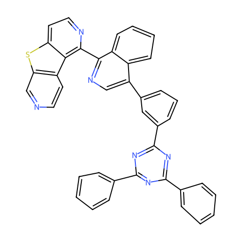 c1ccc(-c2nc(-c3ccccc3)nc(-c3cccc(-c4cnc(-c5nccc6sc7cnccc7c56)c5ccccc45)c3)n2)cc1